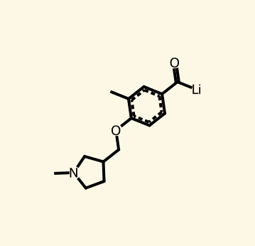 [Li][C](=O)c1ccc(OCC2CCN(C)C2)c(C)c1